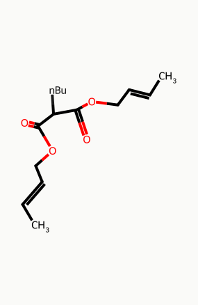 C/C=C/COC(=O)C(CCCC)C(=O)OC/C=C/C